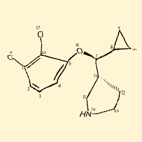 Clc1cccc(O[C@@H](C2CC2)[C@@H]2CCNC2)c1Cl